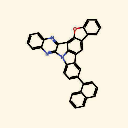 c1ccc2c(-c3ccc4c(c3)c3cc5c6ccccc6oc5c5c6nc7ccccc7nc6n4c35)cccc2c1